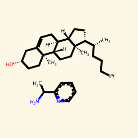 CC(C)CCC[C@@H](C)[C@H]1CC[C@H]2[C@@H]3CC=C4C[C@@H](O)CC[C@]4(C)[C@H]3CC[C@]12C.CC(N)c1ccccn1